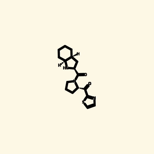 O=C(c1nccs1)[C@@H]1CCCN1C(=O)[C@@H]1C[C@@H]2CCCC[C@@H]2N1